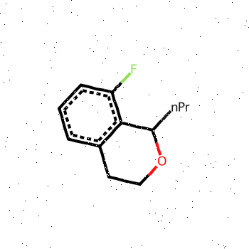 CCCC1OCCc2cccc(F)c21